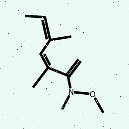 C=C(/C(C)=C\C(C)=C/C)N(C)OC